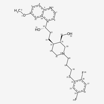 COc1ccc2nccc([C@@H](O)CC[C@@H]3CCN(CCCSc4cc(F)ccc4F)C[C@@H]3CO)c2c1